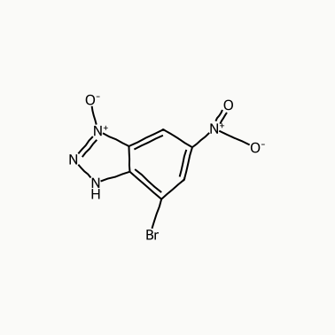 O=[N+]([O-])c1cc(Br)c2[nH]n[n+]([O-])c2c1